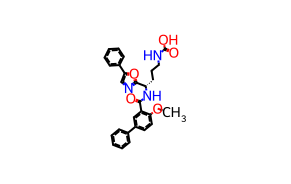 COc1ccc(-c2ccccc2)cc1C(=O)N[C@@H](CCCNC(=O)O)c1ncc(-c2ccccc2)o1